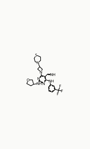 N=Cc1c(Nc2cccc(C(F)(F)F)c2)nc(NC2CCOC2)nc1N1CC(N2CCSCC2)C1